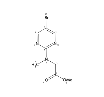 COC(=O)CN(C)c1ncc(Br)cn1